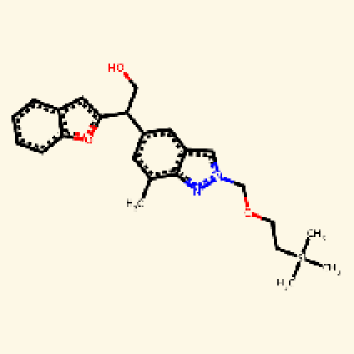 Cc1cc(C(CO)c2cc3ccccc3o2)cc2cn(COCC[Si](C)(C)C)nc12